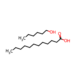 CCCCCCCCCCCC(=O)O.CCCCCCO